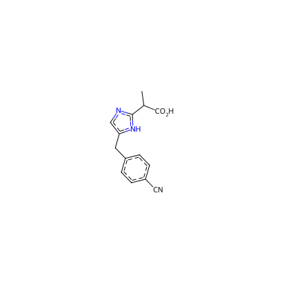 CC(C(=O)O)c1ncc(Cc2ccc(C#N)cc2)[nH]1